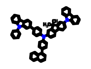 CC1(C)c2cc(N(c3ccc(-c4ccc5c6ccccc6n(-c6ccccc6)c5c4)cc3)c3ccc(-c4cccc5ccccc45)cc3)ccc2-c2ccc(-n3c4ccccc4c4ccccc43)cc21